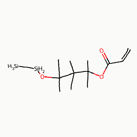 C=CC(=O)OC(C)(C)C(C)(C)C(C)(C)O[SiH2][SiH3]